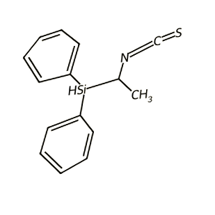 CC(N=C=S)[SiH](c1ccccc1)c1ccccc1